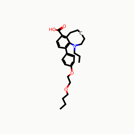 CCCCOCCOc1ccc(-c2ccc(C(=O)O)c3c2N(CCC)CCCCC3)cc1